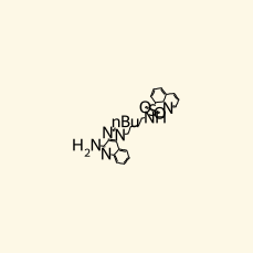 CCCCc1nc2c(N)nc3ccccc3c2n1CCCCNS(=O)(=O)C1C=CC=C2C=CC=NC21